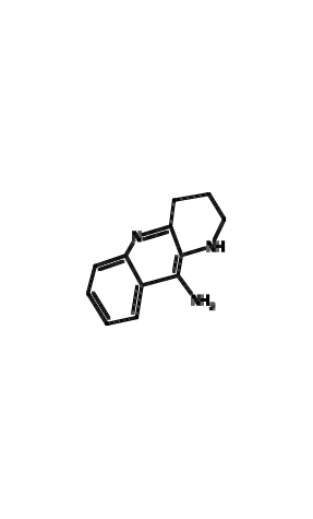 Nc1c2c(nc3ccccc13)CCCN2